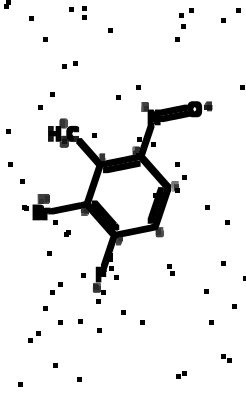 Cc1c(N=O)ccc(F)c1Br